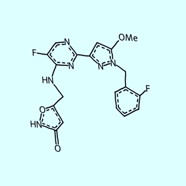 COc1cc(-c2ncc(F)c(NCc3cc(=O)[nH]o3)n2)nn1Cc1ccccc1F